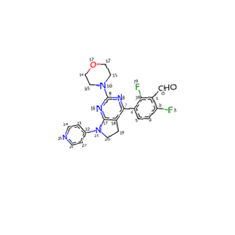 O=Cc1c(F)ccc(-c2nc(N3CCOCC3)nc3c2CCN3c2ccncc2)c1F